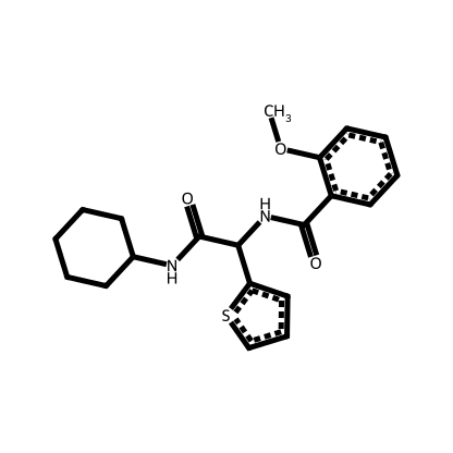 COc1ccccc1C(=O)NC(C(=O)NC1CCCCC1)c1cccs1